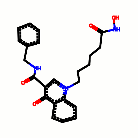 O=C(CCCCCn1cc(C(=O)NCc2ccccc2)c(=O)c2ccccc21)NO